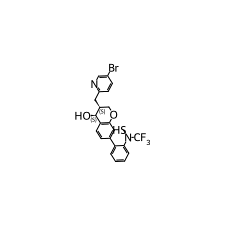 O[C@@H]1c2ccc(-c3ccccc3N(S)C(F)(F)F)cc2OC[C@@H]1Cc1ccc(Br)cn1